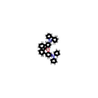 c1ccc(N(c2ccccc2)c2ccc3c(c2)OC(c2ccccc2)(c2ccc(-n4c5ccccc5c5ccccc54)cc2)c2ccccc2-3)cc1